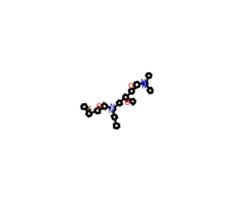 c1ccc(-c2ccc(-c3cc(-c4ccc(-c5ccc(-c6ccc7c(c6)oc6ccc(-c8nc(-c9ccccc9)cc(-c9ccccc9)n8)cc67)c6c5oc5ccccc56)cc4)nc(-c4ccc5oc6cc(-c7cccc8c7sc7ccccc78)ccc6c5c4)n3)cc2)cc1